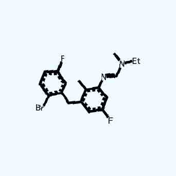 CCN(C)C=Nc1cc(F)cc(Cc2cc(F)ccc2Br)c1C